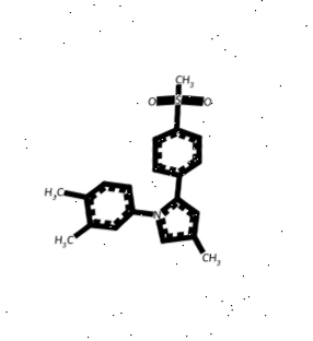 Cc1cc(-c2ccc(S(C)(=O)=O)cc2)n(-c2ccc(C)c(C)c2)c1